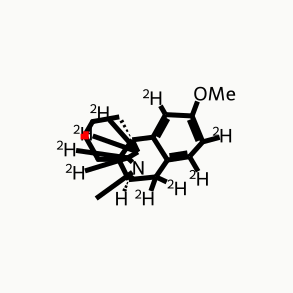 [2H]c1c([2H])c2c(c([2H])c1OC)[C@]13CCCCC1[C@@H](N(C)C([2H])([2H])C3([2H])[2H])C2([2H])[2H]